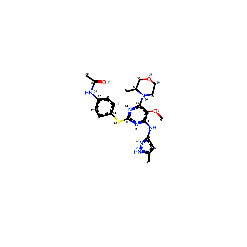 COc1c(Nc2cc(C)[nH]n2)nc(Sc2ccc(NC(C)=O)cc2)nc1N1CCOCC1C